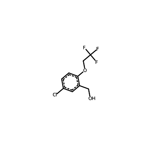 OCc1cc(Cl)ccc1OCC(F)(F)F